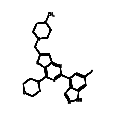 CN1CCN(Cc2cc3nc(-c4cc(F)cc5[nH]ncc45)nc(N4CCOCC4)c3s2)CC1